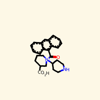 O=C(O)C1CCC[N+](C(=O)c2c3ccccc3cc3ccccc23)(C2CCNCC2)C1